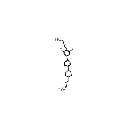 C=CCCC1CCC(c2ccc(-c3cc(F)c(CCCO)c(F)c3)cc2)CC1